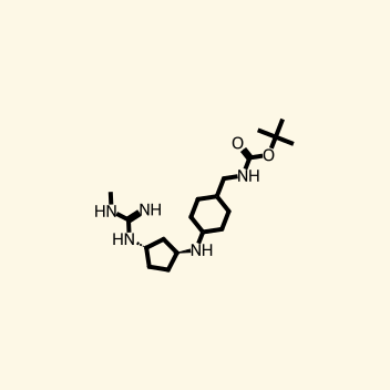 CNC(=N)N[C@H]1CC[C@H](NC2CCC(CNC(=O)OC(C)(C)C)CC2)C1